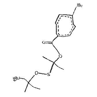 CC(C)(OC(=O)c1ccc(C(C)(C)C)cc1)SOC(C)(C)C(C)(C)C